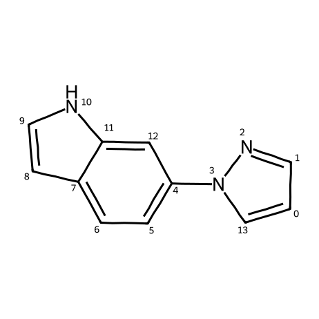 c1cnn(-c2ccc3cc[nH]c3c2)c1